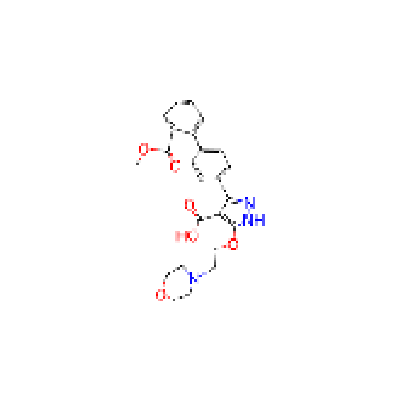 COC(=O)c1ccccc1-c1ccc(-c2n[nH]c(OCCN3CCOCC3)c2C(=O)O)cc1